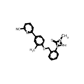 Cc1cc(-c2cccc(C#N)n2)ccc1OCc1ccccc1-n1[nH]n(C)c1=O